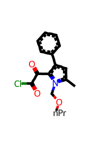 CCCOCn1c(C)cc(-c2ccccc2)c1C(=O)C(=O)Cl